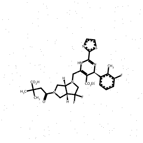 CCOC(=O)C1=C(CN2CC(F)(F)[C@@H]3CN(C(=O)CC(C)(C)C(=O)O)C[C@@H]32)NC(c2nccs2)=N[C@H]1c1cccc(F)c1C